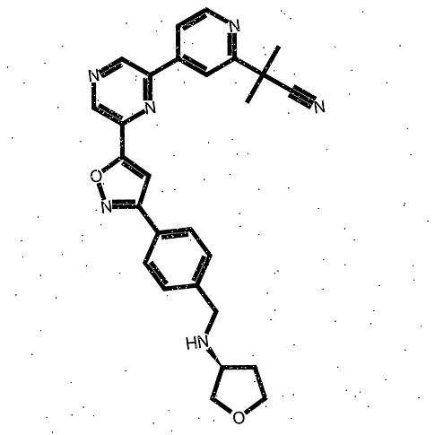 CC(C)(C#N)c1cc(-c2cncc(-c3cc(-c4ccc(CN[C@H]5CCOC5)cc4)no3)n2)ccn1